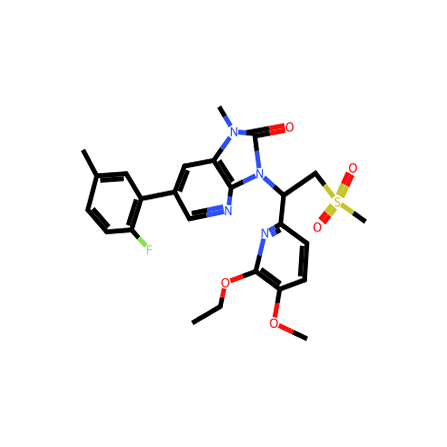 CCOc1nc(C(CS(C)(=O)=O)n2c(=O)n(C)c3cc(-c4cc(C)ccc4F)cnc32)ccc1OC